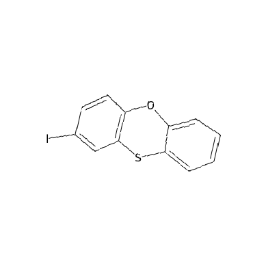 Ic1ccc2c(c1)Sc1ccccc1O2